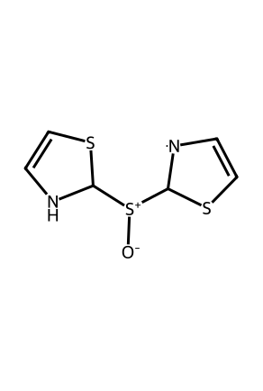 [O-][S+](C1[N]C=CS1)C1NC=CS1